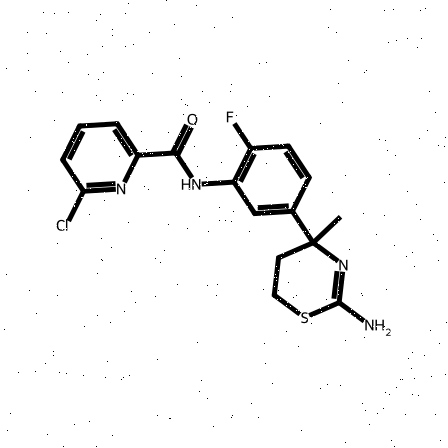 CC1(c2ccc(F)c(NC(=O)c3cccc(Cl)n3)c2)CCSC(N)=N1